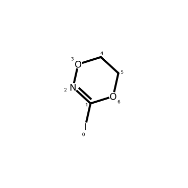 IC1=NOCCO1